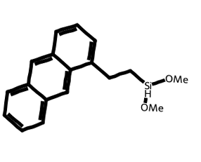 CO[SiH](CCc1cccc2cc3ccccc3cc12)OC